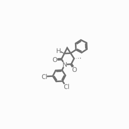 C[C@@H]1C(=O)N(c2cc(Cl)cc(Cl)c2)C(=O)[C@@H]2CC12c1ccccc1